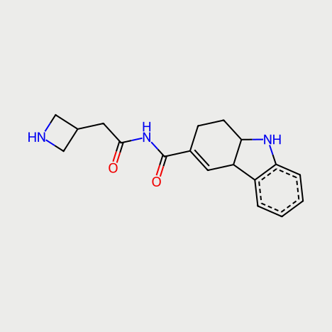 O=C(CC1CNC1)NC(=O)C1=CC2c3ccccc3NC2CC1